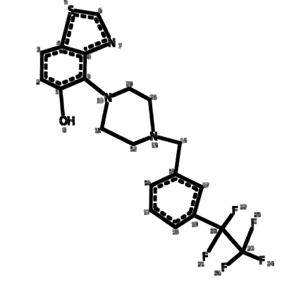 Oc1ccc2scnc2c1N1CCN(Cc2cccc(C(F)(F)C(F)(F)F)c2)CC1